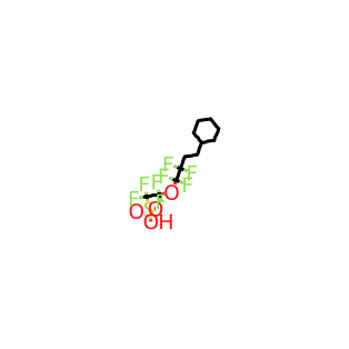 O=S(=O)(O)C(F)(F)C(F)(F)OC(F)(F)C(F)(F)CCC1CCCCC1